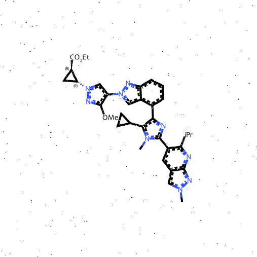 CCOC(=O)[C@@H]1C[C@H]1n1cc(-n2cc3c(-c4nc(-c5cc6cn(C)nc6nc5C(C)C)n(C)c4C4CC4)cccc3n2)c(OC)n1